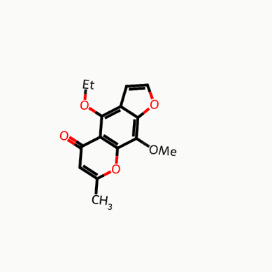 CCOc1c2ccoc2c(OC)c2oc(C)cc(=O)c12